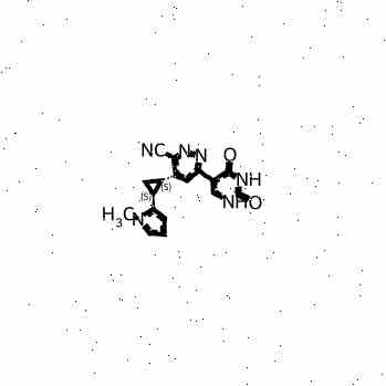 Cn1cccc1[C@H]1C[C@@H]1c1cc(-c2c[nH]c(=O)[nH]c2=O)nnc1C#N